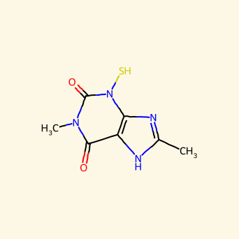 Cc1nc2c([nH]1)c(=O)n(C)c(=O)n2S